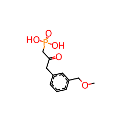 COCc1cccc(CC(=O)CP(=O)(O)O)c1